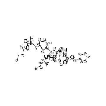 CCCC(F)OC(=O)NCc1cccc(C(CP(=O)(O)C(NC(=O)OCc2ccccc2)C(C)C)C(=O)OC(F)CCC)c1